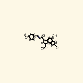 COc1ccc(/C=C/C(=O)N2CC(CCl)c3c2cc(O)c2oc(C)nc32)cc1